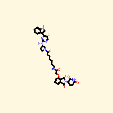 O=C(COc1cccc2c1C(=O)N(C1CCC(=O)NC1=O)C2=O)NCCCCCCC(=O)N1CC[C@@H](Nc2ncc(Cl)c(-c3c[nH]c4ccccc34)n2)C1